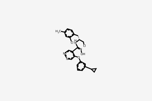 Cc1ccc(C[C@H](CCl)NC(=NO)c2cnncc2Oc2cccc(C3CC3)c2)c(Cl)c1